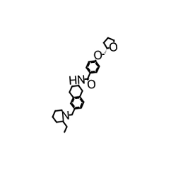 CCC1CCCCN1Cc1ccc2c(c1)CC[C@H](NC(=O)c1ccc(OC[C@@H]3CCCO3)cc1)C2